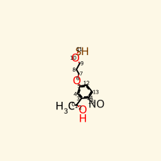 CC(O)c1cc(OCCCOS)ccc1N=O